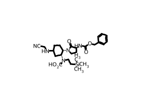 C[Si](C)(C)CCN(C(=O)O)[C@@H]1CC(NCC#N)CC[C@@H]1N1CC[C@H](NC(=O)OCc2ccccc2)C1=O